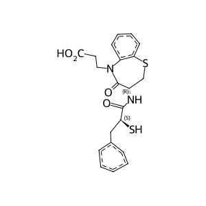 O=C(O)CCN1C(=O)[C@@H](NC(=O)[C@@H](S)Cc2ccccc2)CSc2ccccc21